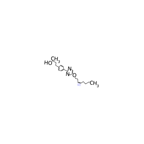 CCCC/C=C\CCOc1cnc(-c2ccc(CCC(C)O)cc2)nc1